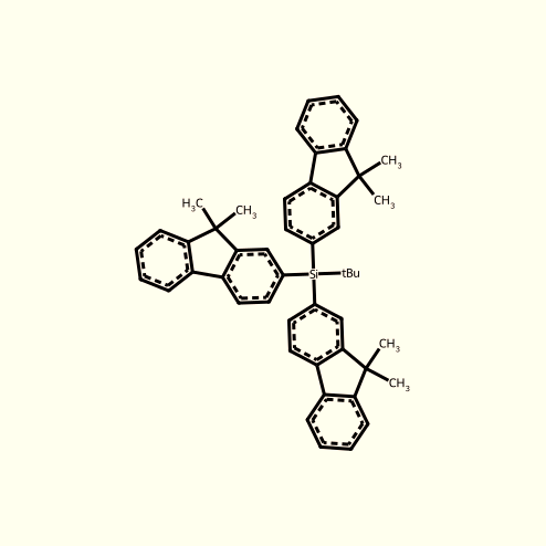 CC1(C)c2ccccc2-c2ccc([Si](c3ccc4c(c3)C(C)(C)c3ccccc3-4)(c3ccc4c(c3)C(C)(C)c3ccccc3-4)C(C)(C)C)cc21